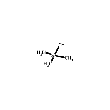 C[Si](C)(C)[BiH2]